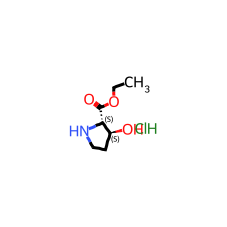 CCOC(=O)[C@H]1NCC[C@@H]1O.Cl